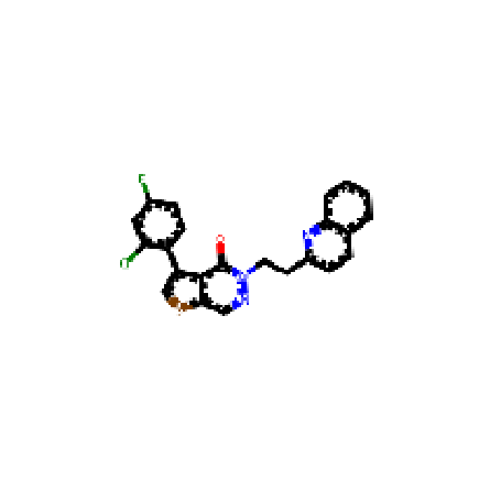 O=c1c2c(-c3ccc(F)cc3Cl)csc2cnn1CCc1ccc2ccccc2n1